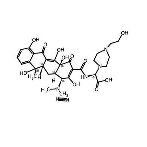 CN(C)[C@@H]1C(O)=C(C(=O)N[C@H](C(=O)O)N2CCN(CCO)CC2)C(=O)[C@@]2(O)C(O)=C3C(=O)c4c(O)cccc4[C@@](C)(O)[C@H]3C[C@H]12.N#N